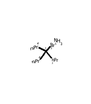 CCCC(Br)(CCC)CCC.N